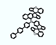 c1ccc(-c2ccc(-c3ccc(N(c4ccc5c(c4)C4(c6ccccc6Oc6ccccc64)c4ccccc4-5)c4c5c(cc6ccccc46)C4(c6ccccc6Sc6ccccc64)c4ccccc4-5)cc3)cc2)cc1